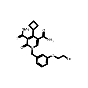 CNC(=O)c1c(C2CCC2)c(C(N)=O)cn(Cc2cccc(OCCO)c2)c1=O